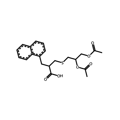 CC(=O)OCC(CSCC(Cc1cccc2ccccc12)C(=O)O)OC(C)=O